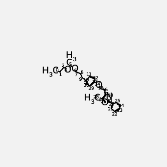 CCCOC(C)OCCCc1ccc(OCCc2nc(-c3ccccc3)oc2C)cc1